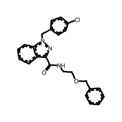 O=C(NCCOCc1ccccc1)c1nn(Cc2ccc(Cl)cc2)c2ccccc12